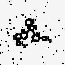 Cc1cccc(-c2nc3ncccn3c2-c2ccc3c(cnn3C)n2)n1